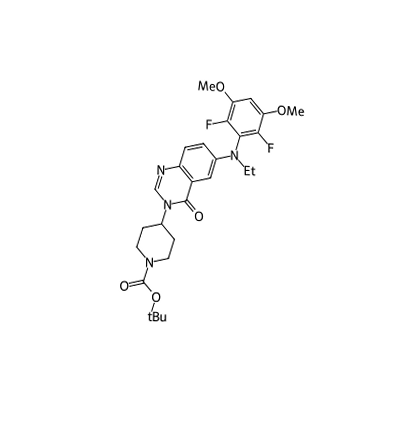 CCN(c1ccc2ncn(C3CCN(C(=O)OC(C)(C)C)CC3)c(=O)c2c1)c1c(F)c(OC)cc(OC)c1F